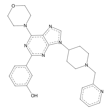 Oc1cccc(-c2nc(N3CCOCC3)c3ncn(C4CCN(Cc5ccccn5)CC4)c3n2)c1